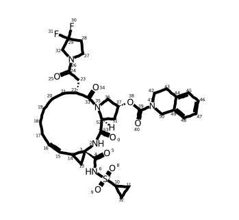 O=C1N[C@]2(C(=O)NS(=O)(=O)C3CC3)CC2C=CCCCCC[C@H](CC(=O)N2CCC(F)(F)C2)C(=O)N2C[C@H](OC(=O)N3CCc4ccccc4C3)C[C@@H]12